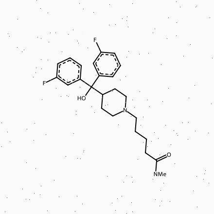 CNC(=O)CCCCN1CCC(C(O)(c2cccc(F)c2)c2cccc(F)c2)CC1